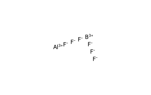 [Al+3].[B+3].[F-].[F-].[F-].[F-].[F-].[F-]